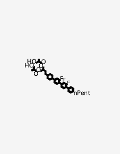 C=C(CO)C(=O)OCC(CCC1CCC(c2ccc(-c3ccc(-c4ccc(CCCCC)cc4)c(F)c3F)c(F)c2)CC1)COC(=O)C(=C)CO